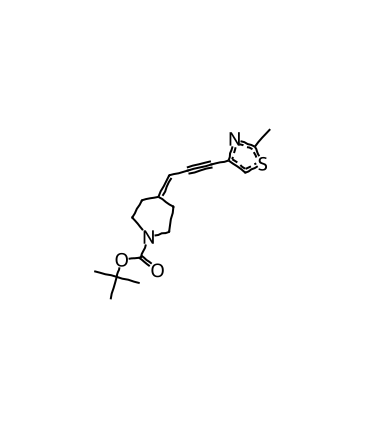 Cc1nc(C#CC=C2CCN(C(=O)OC(C)(C)C)CC2)cs1